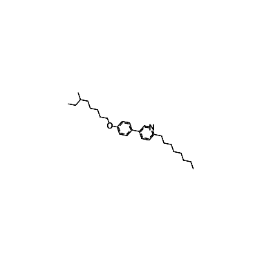 CCCCCCCCc1ccc(-c2ccc(OCCCCCC(C)CC)cc2)cn1